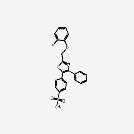 CS(=O)(=O)c1ccc(-c2oc(COc3ccccc3F)nc2-c2ccccc2)cc1